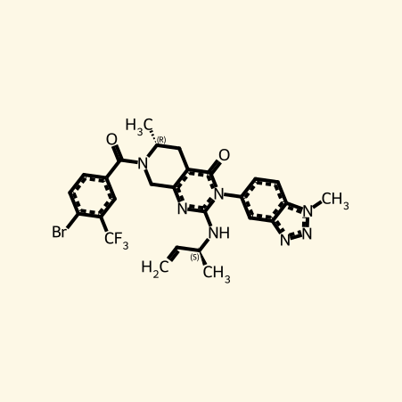 C=C[C@H](C)Nc1nc2c(c(=O)n1-c1ccc3c(c1)nnn3C)C[C@@H](C)N(C(=O)c1ccc(Br)c(C(F)(F)F)c1)C2